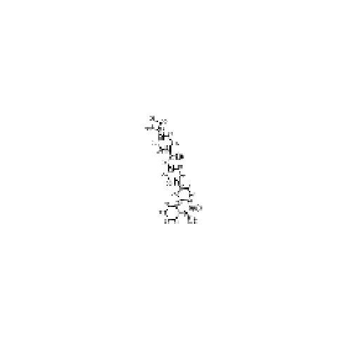 CCN(C(=O)c1ccc(N2CCN(CC(=O)N3CCN(C4CCC4)CC3)CC2)cc1)C1CCCCC1